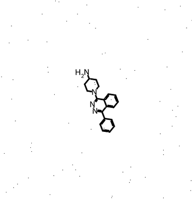 NC1CCN(c2nnc(-c3ccccc3)c3ccccc23)CC1